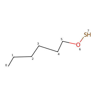 CCCCCCOS